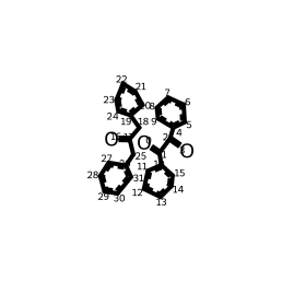 O=C(C(=O)c1ccccc1)c1ccccc1.O=C(Cc1ccccc1)Cc1ccccc1